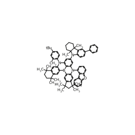 Cc1cc(C(C)(C)C)ccc1N1c2cc3c(cc2B2c4cc5c(cc4N(c4cccc6oc7ccccc7c46)c4cc(N6c7ccc(-c8ccccc8)cc7C7(C)CCCCC67C)cc1c42)C(C)(C)CC5(C)C)C(C)(C)CCC3(C)C